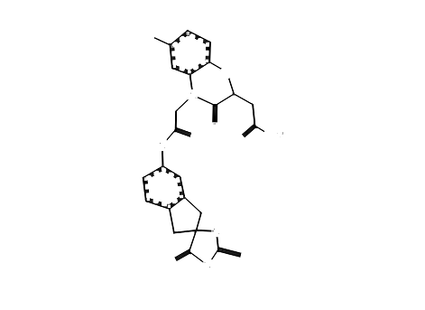 COC(=O)CC1Oc2ccc(C)cc2N(CC(=O)Nc2ccc3c(c2)CC2(C3)NC(=O)NC2=O)C1=O